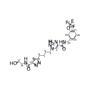 N/C(=C\N(N)CCCCc1nnc(C(=O)NCCO)s1)C(=O)NCc1cccc(OC(F)(F)F)c1